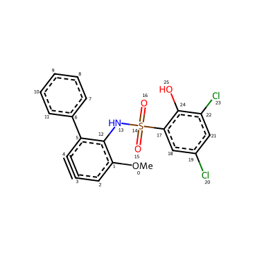 COc1cc#cc(-c2ccccc2)c1NS(=O)(=O)c1cc(Cl)cc(Cl)c1O